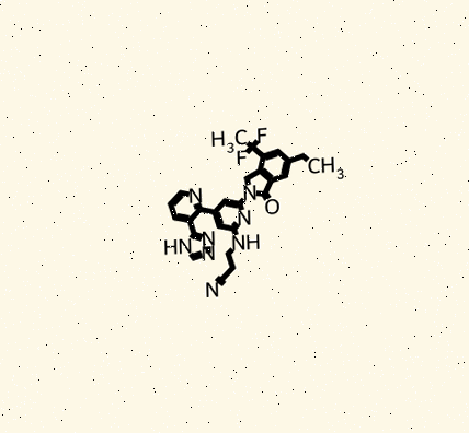 CCc1cc2c(c(C(C)(F)F)c1)CN(c1cc(-c3ncccc3-c3nnc[nH]3)cc(NCCC#N)n1)C2=O